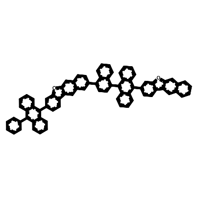 c1ccc(-c2c3ccccc3c(-c3ccc4c(c3)oc3cc5ccc(-c6ccc(-c7c8ccccc8c(-c8ccc9c(c8)oc8cc%10ccccc%10cc89)c8ccccc78)c7ccccc67)cc5cc34)c3ccccc23)cc1